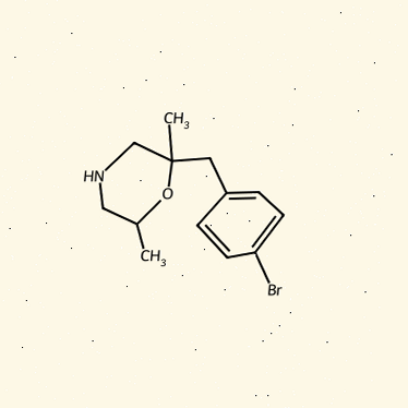 CC1CNCC(C)(Cc2ccc(Br)cc2)O1